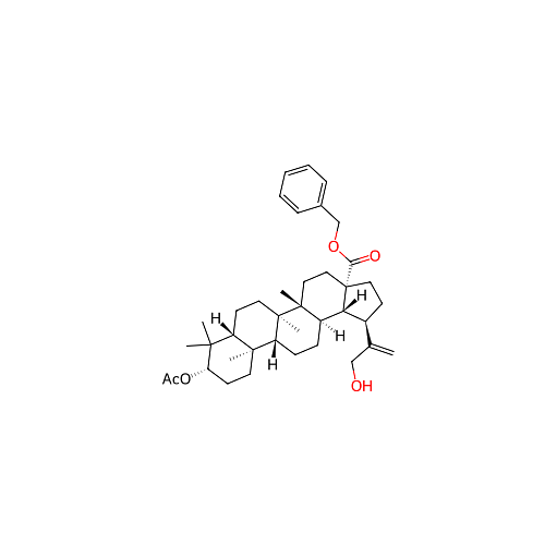 C=C(CO)[C@@H]1CC[C@]2(C(=O)OCc3ccccc3)CC[C@]3(C)[C@H](CC[C@@H]4[C@@]5(C)CC[C@H](OC(C)=O)C(C)(C)[C@@H]5CC[C@]43C)[C@@H]12